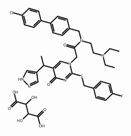 CCN(CC)CCN(Cc1ccc(-c2ccc(Cl)cc2)cc1)C(=O)Cn1cc(C(C)c2cn[nH]c2)c(=O)nc1SCc1ccc(F)cc1.O=C(O)C(O)C(O)C(=O)O